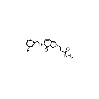 NC(=O)CCN1C=C2C=CC(OCc3cccc(F)c3)C(=O)C2C1